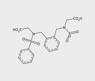 O=C(O)CN(Cc1ccccc1CN(CC(=O)O)S(=O)(=O)c1ccccc1)[SH](=O)=O